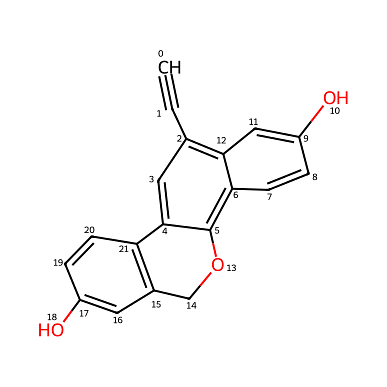 C#Cc1cc2c(c3ccc(O)cc13)OCc1cc(O)ccc1-2